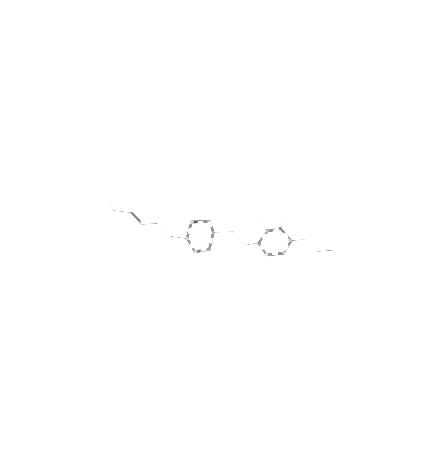 CCOc1ccc(CCc2ccc(CCC=CCF)cc2)c(F)c1F